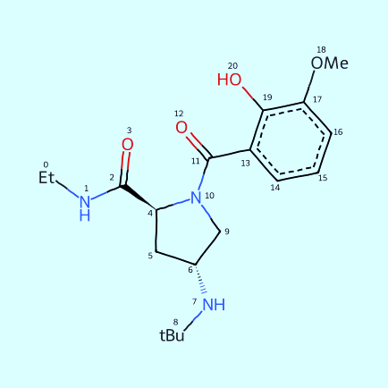 CCNC(=O)[C@@H]1C[C@@H](NC(C)(C)C)CN1C(=O)c1cccc(OC)c1O